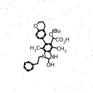 Cc1c2c(c(C)c(-c3ccc4c(c3)CCCO4)c1C(OC(C)(C)C)C(=O)O)N(CCc1ccccc1)C(O)N2